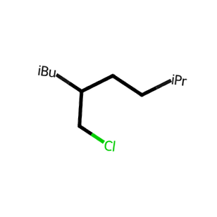 CCC(C)C(CCl)CCC(C)C